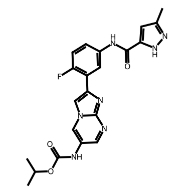 Cc1cc(C(=O)Nc2ccc(F)c(-c3cn4cc(NC(=O)OC(C)C)cnc4n3)c2)[nH]n1